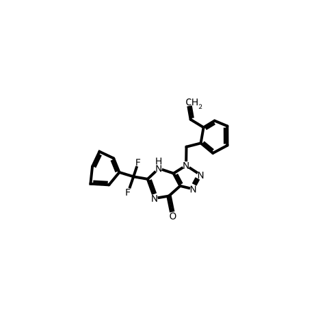 C=Cc1ccccc1Cn1nnc2c(=O)nc(C(F)(F)c3ccccc3)[nH]c21